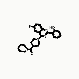 O=C(C1CCN(c2nc(-c3ccccc3O)nc3ccc(F)cc23)CC1)N1CCCCC1